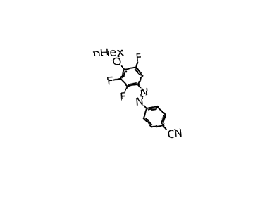 CCCCCCOc1c(F)cc(/N=N/c2ccc(C#N)cc2)c(F)c1F